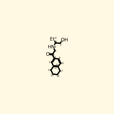 CCC(CO)NCC(=O)c1ccc2c(c1)CCCC2